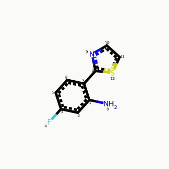 Nc1cc(F)ccc1-c1nccs1